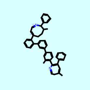 CC1=CC(c2ccccc2)=C(c2ccc(-c3cccc(-c4ccccc4/C4=C/C=N\C(c5ccccc5)C(C)CC4)c3)cc2C)N=CC1